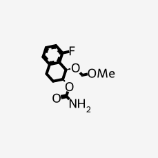 COCO[C@H]1c2c(F)cccc2CC[C@H]1OC(N)=O